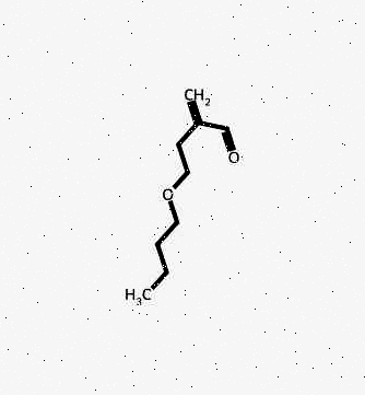 C=C(C=O)CCOCCCC